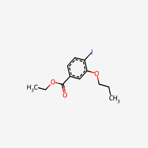 CCCOc1cc(C(=O)OCC)ccc1I